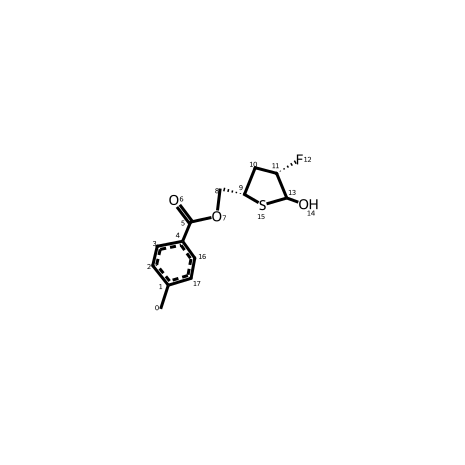 Cc1ccc(C(=O)OC[C@@H]2C[C@H](F)C(O)S2)cc1